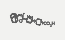 CN(CC12CC3CC(CC(C3)C1)C2)C(=O)c1ccc(N2CCN(C(=O)O)CC2)nn1